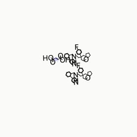 Fc1ccc(C2(CCNCc3ccccc3-c3ccncc3)CCOC3(CCCC3)C2)cc1.Fc1ccc(C2(CCNCc3ccccc3-c3ccncc3)CCOC3(CCCC3)C2)cc1.O=C(O)/C=C/C(=O)O